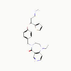 CCN1CCN(Cc2ccc(OC(CCNC)c3cccs3)cc2)C(=O)c2cnccc21